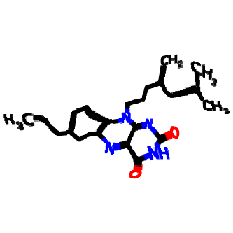 C=C(C=C(C)C)CCCN1C2=CC=C(CCC)CC2N=C2C(=O)NC(=O)N=C21